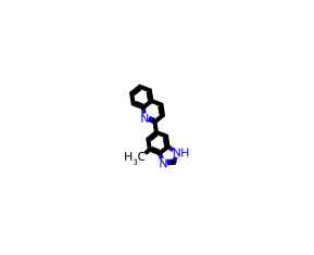 Cc1cc(-c2ccc3ccccc3n2)cc2[nH]cnc12